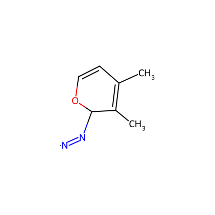 CC1=C(C)C(N=[N])OC=C1